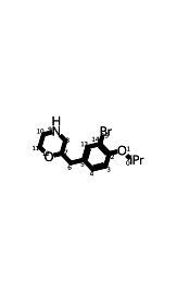 CC(C)Oc1ccc(CC2CNCCO2)cc1Br